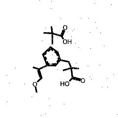 CC(C)(C)C(=O)O.COC=C(C)c1cccc(CC(C)(C)C(=O)O)c1